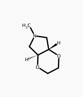 CN1C[C@@H]2OCCO[C@H]2C1